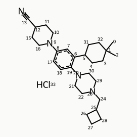 CC1(C)CCC(c2cc(N3CCC(C#N)CC3)ccc2N2CCN(CC3CCC3)CC2)CC1.Cl